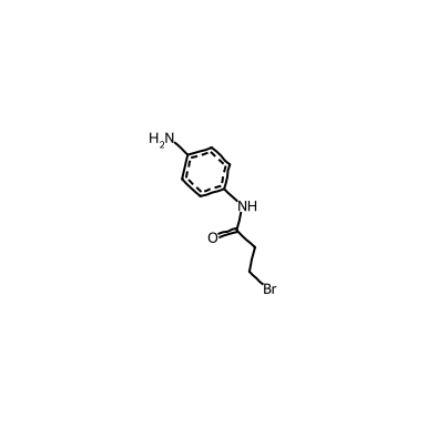 Nc1ccc(NC(=O)CCBr)cc1